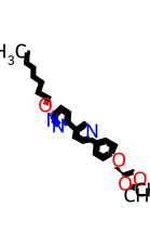 CCCCCCCCOc1ccc(-c2ccc(-c3ccc(OC[C@H]4COC(C)(C)O4)cc3)nc2)nn1